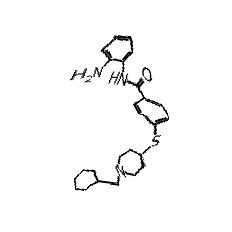 Nc1ccccc1NC(=O)c1ccc(SC2CCN(CC3CCCCC3)CC2)cc1